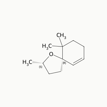 C[C@H]1CC[C@]2(C=CCCC2(C)C)O1